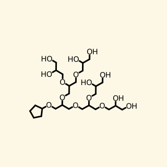 OCC(O)COCC(COCC(COC1CCCC1)OCC(COCC(O)CO)OCC(O)CO)OCC(O)CO